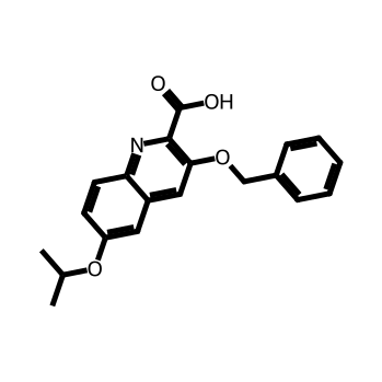 CC(C)Oc1ccc2nc(C(=O)O)c(OCc3ccccc3)cc2c1